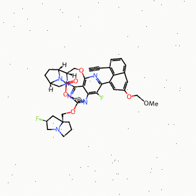 C#Cc1cccc2cc(OCOC)cc(-c3nc4c5c(nc(OC[C@@]67CCCN6C[C@@H](F)C7)nc5c3F)N3C[C@@H]5CC[C@H]([C@@H]3CO4)N5C(=O)OC(C)(C)C)c12